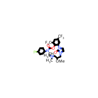 COC(CN(C)C)Cn1ccn(-c2cc(C(F)(F)F)cc(C(F)(F)F)c2OC(=O)N(C)c2ccc(F)cc2)c1=O